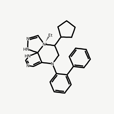 CC[N@@+]12C=NNC13NC=NC=C3N(c1ccccc1-c1ccccc1)CC2C1CCCC1